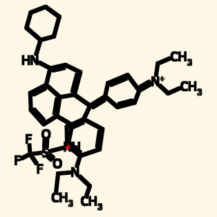 CCN(CC)c1ccc(C(=C2C=CC(=[N+](CC)CC)C=C2)c2ccc(NC3CCCCC3)c3cccc(CNS(=O)(=O)C(F)(F)F)c23)cc1